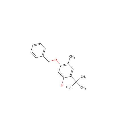 Cc1cc(C(C)(C)C)c(Br)cc1OCc1ccccc1